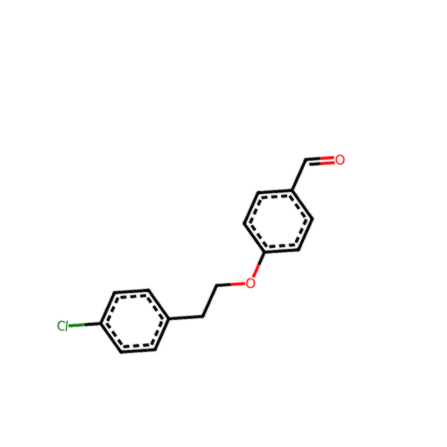 O=Cc1ccc(OCCc2ccc(Cl)cc2)cc1